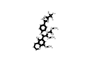 COC(=O)N=C(SC)C(=Nc1ccc(-c2noc(C(F)(F)F)n2)cc1)c1cc(OC)c2c(c1F)CCCO2